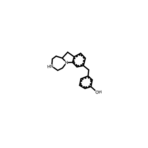 Oc1cccc(Cc2ccc3c(c2)N2CCNCCC2C3)c1